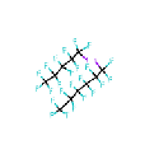 FC(F)(F)C(F)(F)C(F)(F)C(F)(F)C(F)(F)C(F)(F)I.FC(F)(F)C(F)(F)C(F)(F)C(F)(F)C(F)(F)I